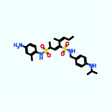 CC/C=C(C)\C(=C/C(C)S(=O)(=O)Nc1ccc(N)cc1C)S(=O)(=O)NCc1ccc(NC(C)C)cc1